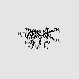 CCCCOC[C@H](O[C@H]1OC(COC(C)=O)[C@@H](OCCCC)[C@H](OCCCC)C1N=[N+]=[N-])C(O[C@@H](O[C@@H]1C(COC(C)=O)OC(OC(C)=O)[C@@H](N=[N+]=[N-])C1O)[C@H](C)OCCCC)C(=O)OC